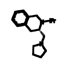 CC(C)N1Cc2ccccc2C[C@H]1CN1CCCC1